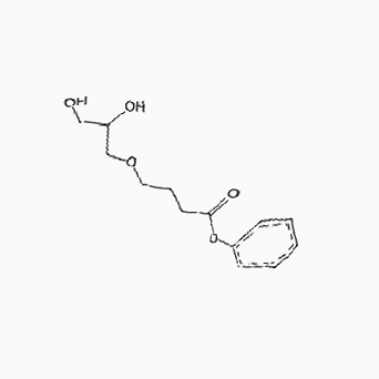 O=C(CCCOCC(O)CO)Oc1ccccc1